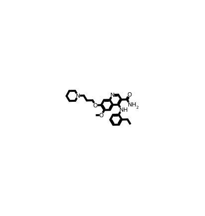 CCc1ccccc1Nc1c(C(N)=O)cnc2cc(OCCCN3CCCCC3)c(OC)cc12